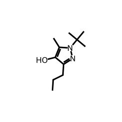 CCCc1nn(C(C)(C)C)c(C)c1O